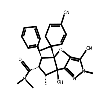 C[C@@H]1[C@H](C(=O)N(C)C)[C@@H](c2ccccc2)[C@]2(C3(C)C=CC(C#N)=CC3)Oc3c(nn(C)c3C#N)[C@]12O